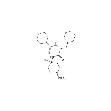 CCOC(=O)N1CCC(C#N)(NC(=O)C(CC2CCCCC2)NC(=O)C2CCNCC2)CC1